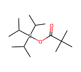 CC(C)[Si](OC(=O)C(C)(C)C)(C(C)C)C(C)C